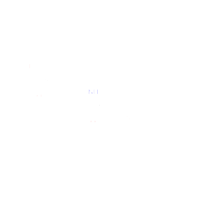 Cc1c[c]cc(C)c1OCC(=O)NCCC(=O)O